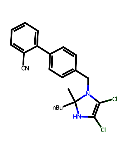 CCCCC1(C)NC(Cl)=C(Cl)N1Cc1ccc(-c2ccccc2C#N)cc1